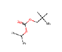 CCCC(C)(C)COC(=O)OC(C(C)C)C(C)C